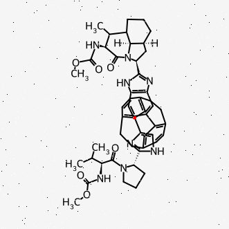 COC(=O)N[C@H](C(=O)N1CCC[C@H]1c1nc(-c2cc3ccc2CCc2ccc(c(-c4ccc5[nH]c([C@@H]6C[C@@H]7CCCC8C(C)[C@H](NC(=O)OC)C(=O)N6[C@@H]87)nc5c4)c2)CC3)c[nH]1)C(C)C